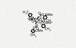 COc1cc(C)ccc1OC(=O)OC=C1OC(OC(=O)Oc2ccc(C)cc2OC)C(=COC(=O)Oc2ccc(C)cc2OC)OC1OC(=O)Oc1ccc(C)cc1OC